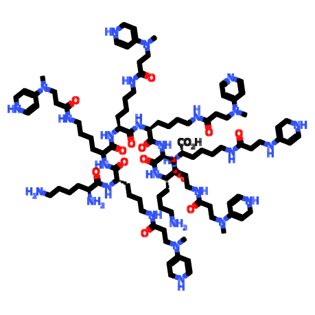 CN(CCC(=O)NCCCCC(NC(=O)[C@H](CCCCNC(=O)CCN(C)C1=CCNC=C1)NC(=O)[C@@H](N)CCCCN)C(=O)N[C@@H](CCCCNC(=O)CCN(C)C1=CCNC=C1)C(=O)N[C@@H](CCCCNC(=O)CCN(C)c1ccncc1)C(=O)N[C@@H](CCCCNC(=O)CCN(C)C1=CCNC=C1)C(=O)N[C@@H](CCCCN)C(=O)N[C@@H](CCCCNC(=O)CCNC1=CCNC=C1)C(=O)O)C1=CCNC=C1